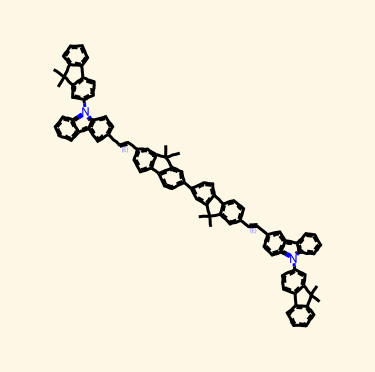 CC1(C)c2cc(/C=C/c3ccc4c(c3)c3ccccc3n4-c3ccc4c(c3)C(C)(C)c3ccccc3-4)ccc2-c2ccc(-c3ccc4c(c3)C(C)(C)c3cc(/C=C/c5ccc6c(c5)c5ccccc5n6-c5ccc6c(c5)C(C)(C)c5ccccc5-6)ccc3-4)cc21